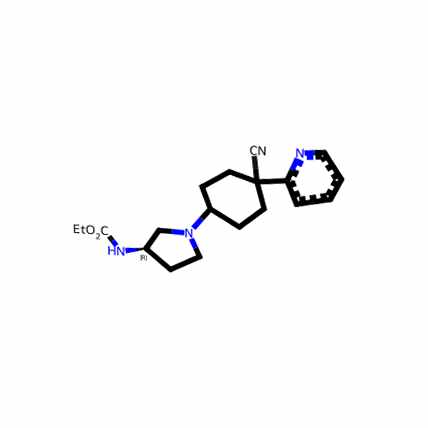 CCOC(=O)N[C@@H]1CCN(C2CCC(C#N)(c3ccccn3)CC2)C1